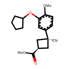 COc1ccc([C@]2(C#N)C[C@H](C(=O)OC)C2)cc1OC1CCCC1